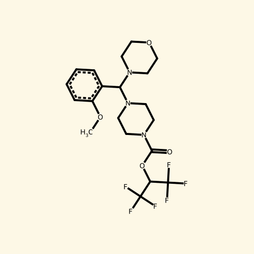 COc1ccccc1C(N1CCOCC1)N1CCN(C(=O)OC(C(F)(F)F)C(F)(F)F)CC1